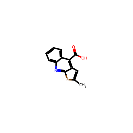 Cc1cc2c(C(=O)O)c3ccccc3nc2s1